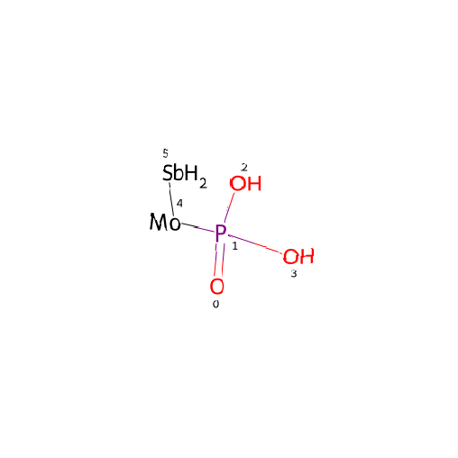 O=[P](O)(O)[Mo][SbH2]